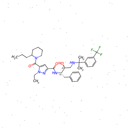 CCCC1CCCCN1C(=O)c1cc(C(=O)N[C@@H](Cc2ccccc2)[C@@H](O)CNC(C)(C)c2cccc(C(F)(F)F)c2)nn1CC